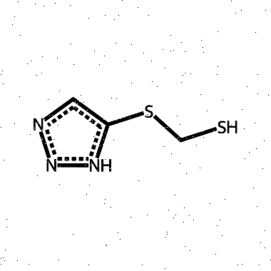 SCSc1cnn[nH]1